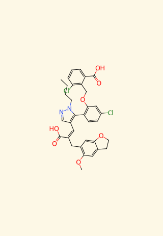 CCCCn1ncc(C=C(Cc2cc3c(cc2OC)CCO3)C(=O)O)c1-c1ccc(Cl)cc1OCc1c(Cl)cccc1C(=O)O